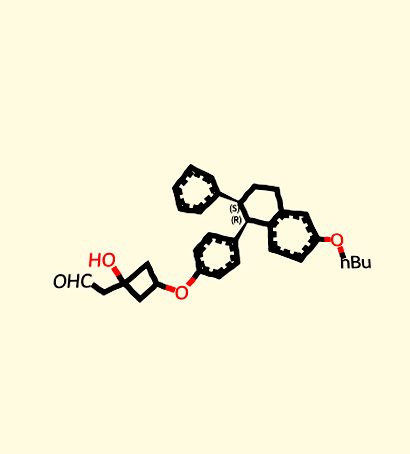 CCCCOc1ccc2c(c1)CC[C@H](c1ccccc1)[C@@H]2c1ccc(OC2CC(O)(CC=O)C2)cc1